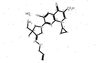 C=CCO/N=C1\CN(c2nc3c(cc2F)c(=O)c(C(=O)O)cn3C2CC2)CC1(C)CN.Cl